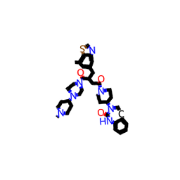 Cc1cc(CC(CC(=O)N2CCC(N3CCc4ccccc4NC3=O)CC2)C(=O)N2CCN(C3CCN(C)CC3)CC2)cc2ncsc12